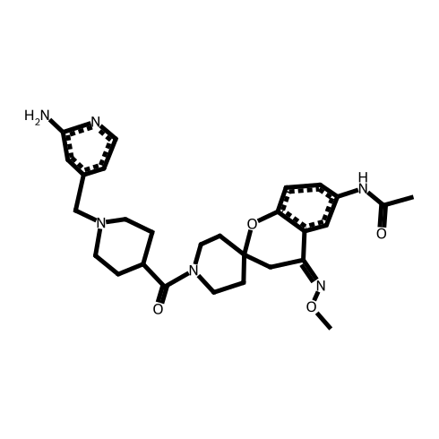 CO/N=C1\CC2(CCN(C(=O)C3CCN(Cc4ccnc(N)c4)CC3)CC2)Oc2ccc(NC(C)=O)cc21